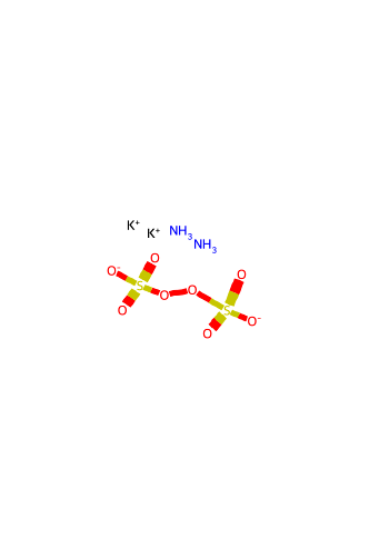 N.N.O=S(=O)([O-])OOS(=O)(=O)[O-].[K+].[K+]